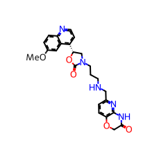 COc1ccc2nccc([C@@H]3CN(CCCNCc4ccc5c(n4)NC(=O)CO5)C(=O)O3)c2c1